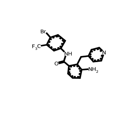 Nc1cccc(C(=O)Nc2ccc(Br)c(C(F)(F)F)c2)c1Cc1ccncc1